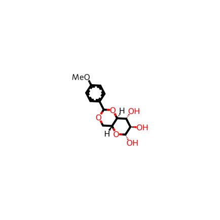 COc1ccc(C2OC[C@H]3O[C@@H](O)[C@H](O)[C@@H](O)[C@@H]3O2)cc1